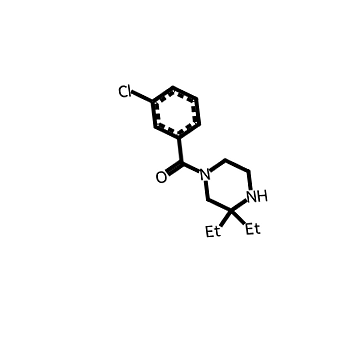 CCC1(CC)CN(C(=O)c2cccc(Cl)c2)CCN1